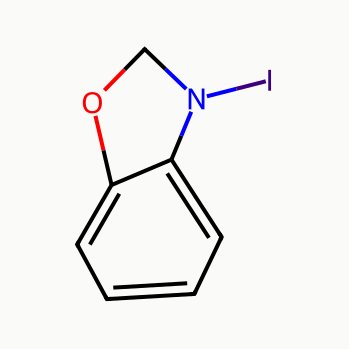 IN1COc2ccccc21